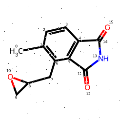 Cc1ccc2c(c1CC1CO1)C(=O)NC2=O